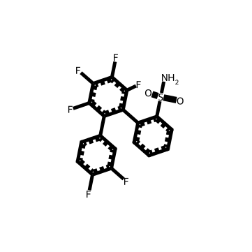 NS(=O)(=O)c1ccccc1-c1c(F)c(F)c(F)c(F)c1-c1ccc(F)c(F)c1